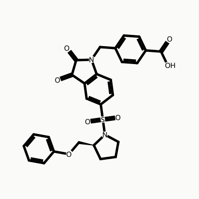 O=C(O)c1ccc(CN2C(=O)C(=O)c3cc(S(=O)(=O)N4CCC[C@H]4COc4ccccc4)ccc32)cc1